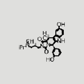 CC(C)N(C)CCCN1C(=O)N2[C@H](C3=CC(O)CC=C3)c3[nH]c4ccc(O)cc4c3C[C@@]2(C)C1=O